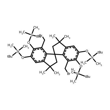 CC1(C)CC2(CC(C)(C)c3cc(O[Si](C)(C)C(C)(C)C)c(O[Si](C)(C)C(C)(C)C)c(CBr)c32)c2c1cc(O[Si](C)(C)C(C)(C)C)c(O[Si](C)(C)C(C)(C)C)c2CBr